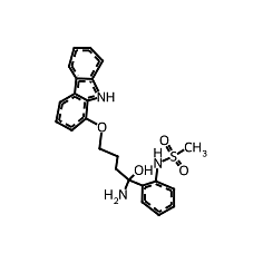 CS(=O)(=O)Nc1ccccc1C(N)(O)CCCOc1cccc2c1[nH]c1ccccc12